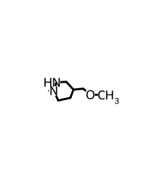 COCC1CC[N]NC1